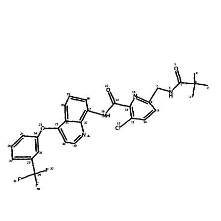 CC(C)(C)C(=O)NCc1ccc(Cl)c(C(=O)Nc2cccc3c(Oc4cccc(C(F)(F)F)c4)ccnc23)n1